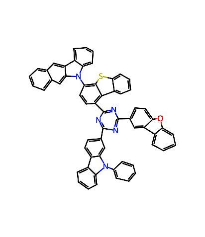 c1ccc(-n2c3ccccc3c3ccc(-c4nc(-c5ccc6oc7ccccc7c6c5)nc(-c5ccc(-n6c7ccccc7c7cc8ccccc8cc76)c6sc7ccccc7c56)n4)cc32)cc1